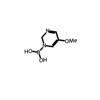 COC1=CN(B(O)O)CN=C1